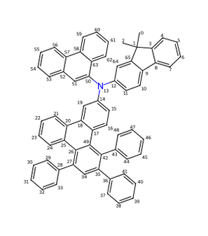 CC1(C)c2ccccc2-c2ccc(N(c3ccc4c(c3)c3ccccc3c3c(-c5ccccc5)cc(-c5ccccc5)c(-c5ccccc5)c43)c3cc4ccccc4c4ccccc34)cc21